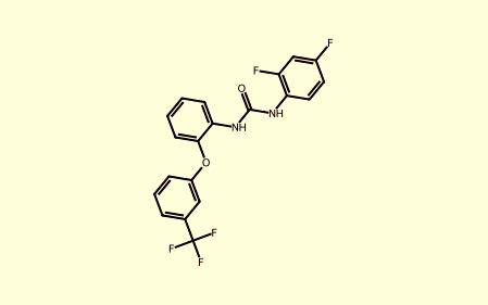 O=C(Nc1ccc(F)cc1F)Nc1ccccc1Oc1cccc(C(F)(F)F)c1